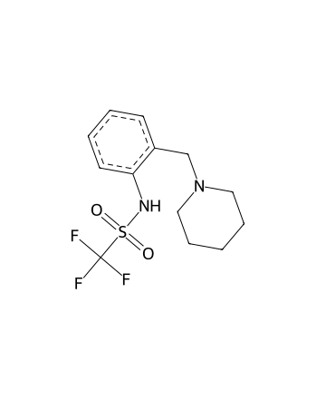 O=S(=O)(Nc1ccccc1CN1CCCCC1)C(F)(F)F